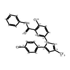 O=C(Nc1ccccc1)c1nc(-n2nc(C(F)(F)F)cc2-c2ccc(Cl)cc2)ccc1Cl